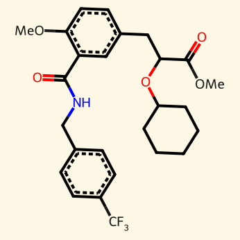 COC(=O)C(Cc1ccc(OC)c(C(=O)NCc2ccc(C(F)(F)F)cc2)c1)OC1CCCCC1